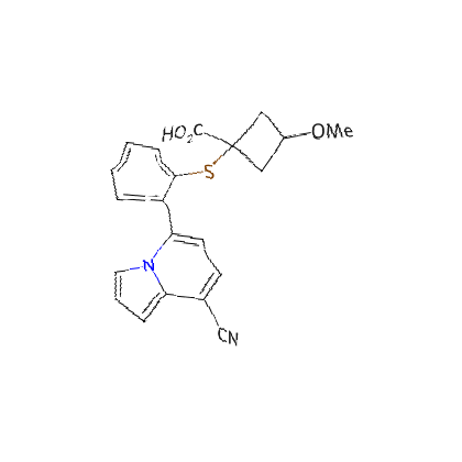 COC1CC(Sc2ccccc2-c2ccc(C#N)c3cccn23)(C(=O)O)C1